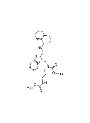 CC(C)(C)OC(=O)NCCCN(Cc1c(CNC2CCCc3cccnc32)nc2ccccn12)C(=O)OC(C)(C)C